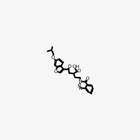 CC(C)COc1ccc2c(C(=O)CC(CCn3nnc4ccccc4c3=O)C(=O)O)coc2c1